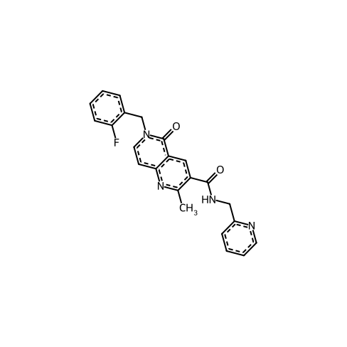 Cc1nc2ccn(Cc3ccccc3F)c(=O)c2cc1C(=O)NCc1ccccn1